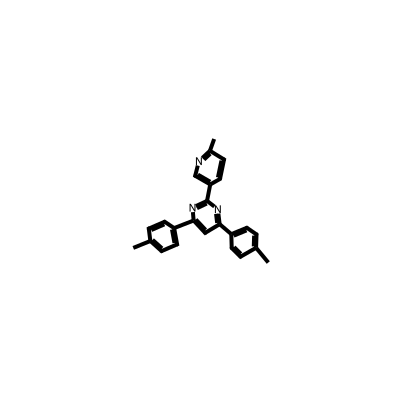 Cc1ccc(-c2cc(-c3ccc(C)cc3)nc(-c3ccc(C)nc3)n2)cc1